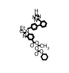 CCOc1nc2cc(C(=O)OC(C)OC(=O)OC3CCCCC3)ccc2n1Cc1ccc(-c2ccccc2-c2nn[nH]n2)cc1